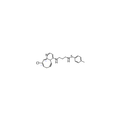 Cc1ccc(SNCCCNC2=CC=N/C3=C/C(Cl)=C\CC#CC23)cc1